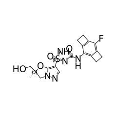 C[C@@]1(CO)Cn2ncc([S@](N)(=O)=NC(=O)Nc3c4c(c(F)c5c3CC5)CC4)c2O1